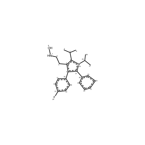 CC(C)c1c(CCNO)c(-c2ccc(F)cc2)c(-c2ccccc2)n1C(C)C